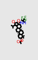 CC(=O)O[C@H]1CC[C@@]2(C)C(CC[C@@]3(C)C4CC[C@@]5(C(=O)NC(C)(C)C(F)(F)F)CC(=O)C(C(C)C)=C5C4CCC32)C1(C)C